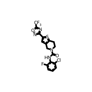 O=C(Nc1c(F)cccc1Cl)N1CCc2sc(-c3noc(C(F)(F)F)n3)cc2C1